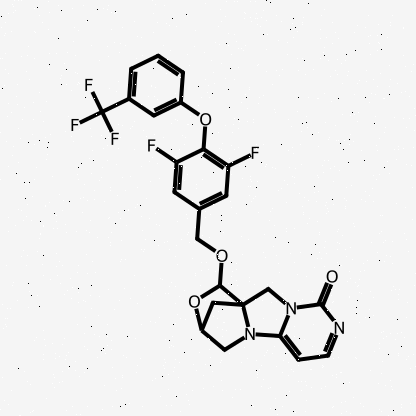 O=c1nccc2n1CC13CC(CN21)OC3OCc1cc(F)c(Oc2cccc(C(F)(F)F)c2)c(F)c1